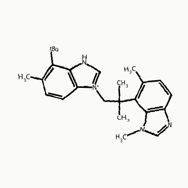 Cc1ccc2c([nH]c[n+]2CC(C)(C)c2c(C)ccc3ncn(C)c23)c1C(C)(C)C